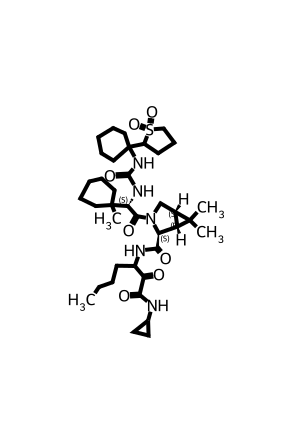 CCCCC(NC(=O)[C@@H]1[C@@H]2[C@H](CN1C(=O)[C@@H](NC(=O)NC1(C3CCCS3(=O)=O)CCCCC1)C1(C)CCCCC1)C2(C)C)C(=O)C(=O)NC1CC1